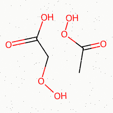 CC(=O)OO.O=C(O)COO